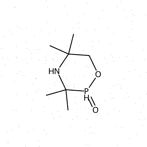 CC1(C)CO[PH](=O)C(C)(C)N1